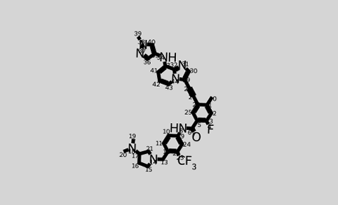 Cc1cc(F)c(C(=O)Nc2ccc(CN3CCC(N(C)C)C3)c(C(F)(F)F)c2)cc1C#Cc1cnc2c(Nc3cnn(C)c3)cccn12